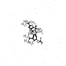 CC(C)C1=CC(OC(F)F)C(C)C(C(C)C)=C1NC(=O)N=S(N)(=O)c1sc(C(C)(C)O)cc1F